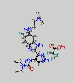 CCN(CC)C(=O)Nc1c[nH]nc1-c1nc2cc(F)c(NCCN(C)C)cc2[nH]1.O=C(O)C(F)(F)F